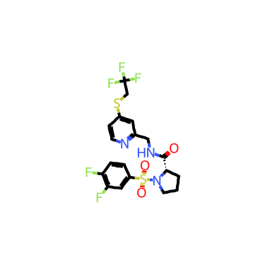 O=C(NCc1cc(SCC(F)(F)F)ccn1)[C@@H]1CCCN1S(=O)(=O)c1ccc(F)c(F)c1